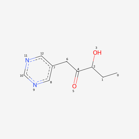 CCC(O)C(=O)Cc1cncnc1